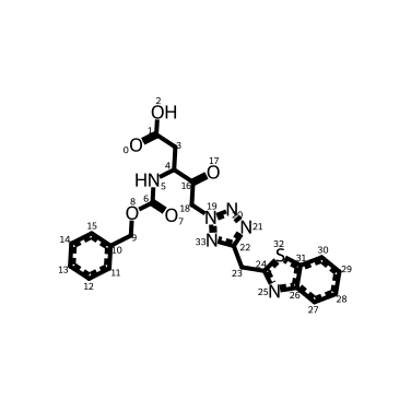 O=C(O)CC(NC(=O)OCc1ccccc1)C(=O)Cn1nnc(Cc2nc3ccccc3s2)n1